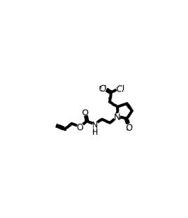 C=CCOC(=O)NCCN1C(=O)CCC1CC(=O)Cl